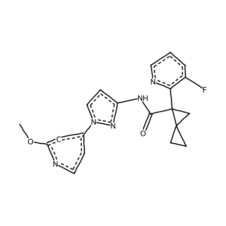 COc1cc(-n2ccc(NC(=O)C3(c4ncccc4F)CC34CC4)n2)ccn1